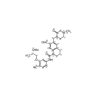 CO[C@@H](C)COc1cc(NC(=O)N2CCCc3cc(CN4CCN(C)CC4=O)c(C=O)nc32)ncc1C#N